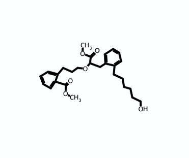 COC(=O)c1ccccc1CCCOC(Cc1ccccc1CCCCCCO)C(=O)OC